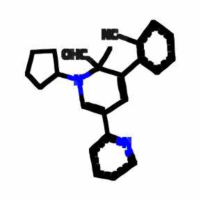 CC1(C=O)C(c2ccccc2C#N)=CC(c2ccccn2)=CN1C1CCCC1